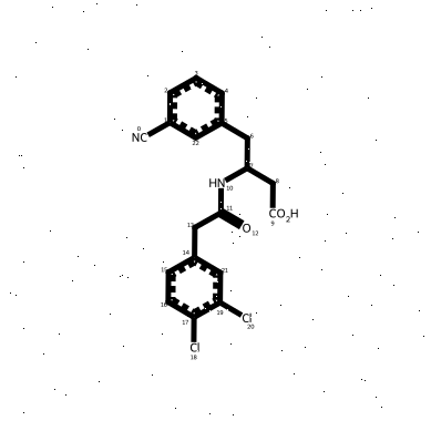 N#Cc1cccc(CC(CC(=O)O)NC(=O)Cc2ccc(Cl)c(Cl)c2)c1